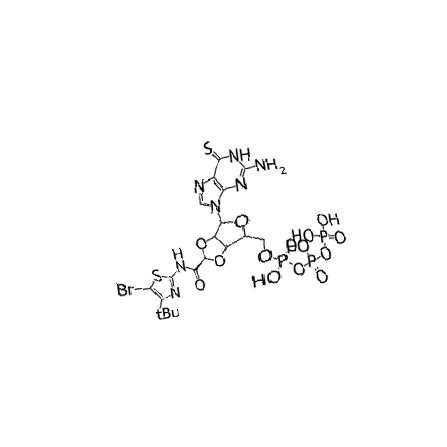 CC(C)(C)c1nc(NC(=O)[C@@H]2OC3C(COP(=O)(O)OP(=O)(O)OP(=O)(O)O)OC(n4cnc5c(=S)[nH]c(N)nc54)C3O2)sc1Br